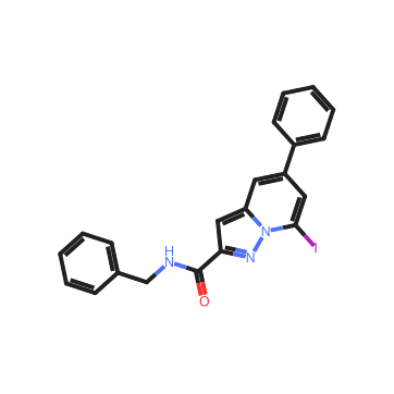 O=C(NCc1ccccc1)c1cc2cc(-c3ccccc3)cc(I)n2n1